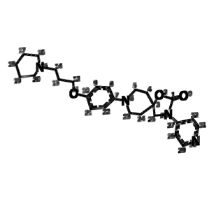 O=C1OC2(CCN(c3ccc(OCCCN4CCCCC4)cc3)CC2)CN1c1ccncc1